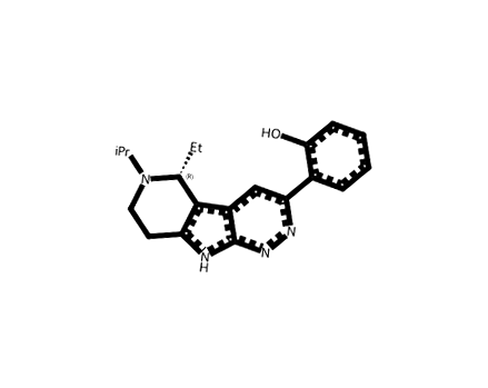 CC[C@@H]1c2c([nH]c3nnc(-c4ccccc4O)cc23)CCN1C(C)C